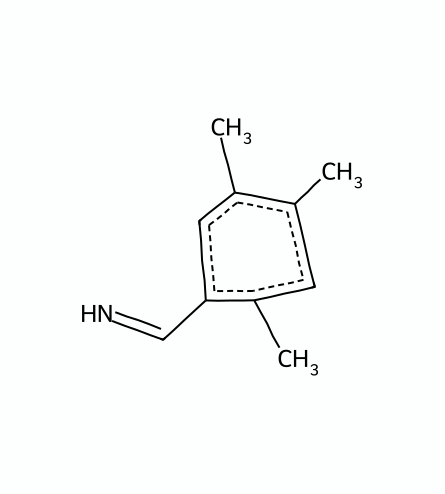 Cc1cc(C)c(C=N)cc1C